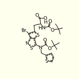 CC(C)(C)OC(=O)NC(Cc1sc2c(N(Cc3cccs3)C(=O)OC(C)(C)C)snc2c1Br)C(=O)O